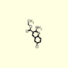 CCOC(=O)c1cc2cc(Cl)ccc2nc1N